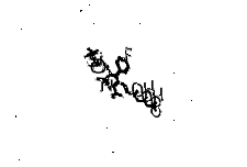 COC(=O)CC(O)CC(O)C=Cc1c(C(C)C)nc(C)c(CO[Si](C)(C)C(C)(C)C)c1-c1ccc(F)cc1